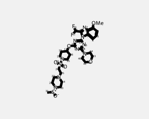 COc1cccc2c1nc(C(F)F)n2-c1nc(OC2CCN(S(=O)(=O)CCN3CCN([S+](C)[O-])CC3)CC2)nc(N2CCOCC2)n1